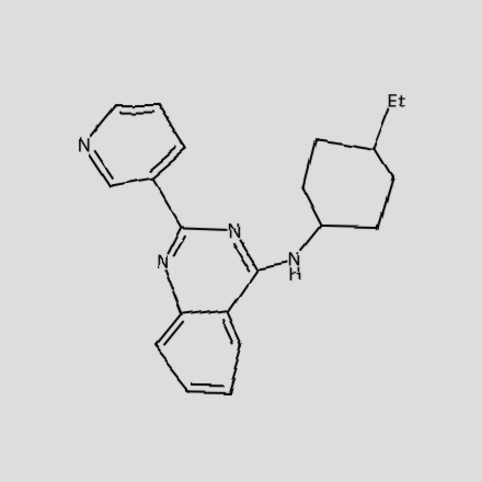 CCC1CCC(Nc2nc(-c3cccnc3)nc3ccccc23)CC1